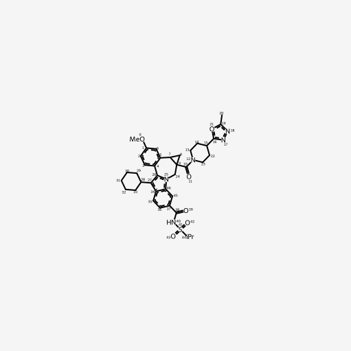 COc1ccc2c(c1)C1CC1(C(=O)N1CCC(c3nnc(C)o3)CC1)Cn1c-2c(C2CCCCC2)c2ccc(C(=O)NS(=O)(=O)C(C)C)cc21